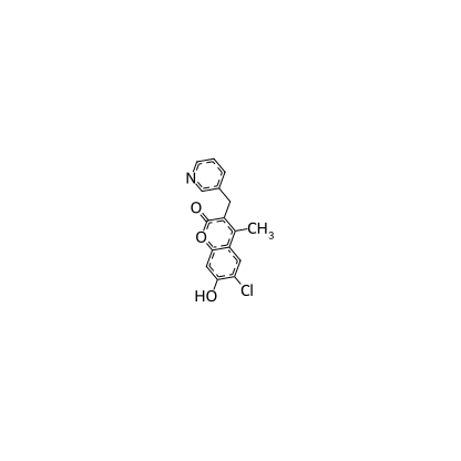 Cc1c(Cc2cccnc2)c(=O)oc2cc(O)c(Cl)cc12